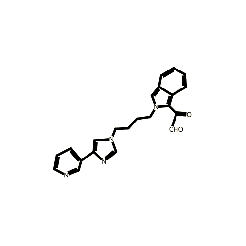 O=CC(=O)c1c2ccccc2cn1CCCCn1cnc(-c2cccnc2)c1